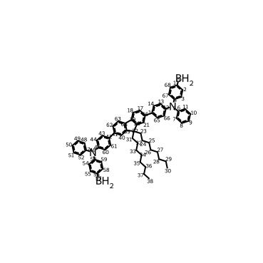 Bc1ccc(N(c2ccccc2)c2ccc(-c3ccc4c(c3)C(CCCCCCCC)(CCCCCCCC)c3cc(-c5ccc(N(c6ccccc6)c6ccc(B)cc6)cc5)ccc3-4)cc2)cc1